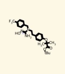 CC(C)(C)OC(=O)C(C)(C)Oc1ccc(CCN(Cc2ccc(C(F)(F)F)cc2)/C(N)=N/O)cc1